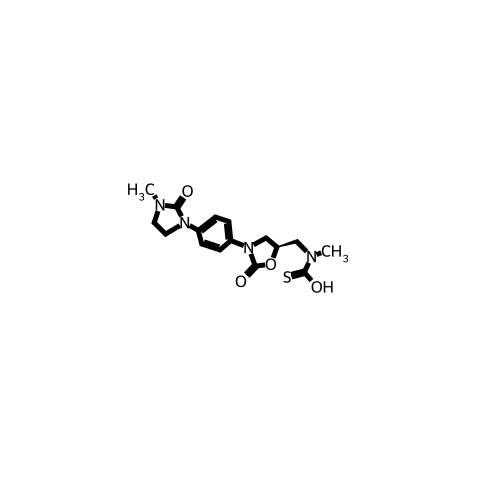 CN1CCN(c2ccc(N3C[C@@H](CN(C)C(O)=S)OC3=O)cc2)C1=O